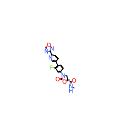 CNC(=O)[C@H]1CN(c2ccc(-c3ccc(-c4ncon4)nc3)c(F)c2)C(=O)O1